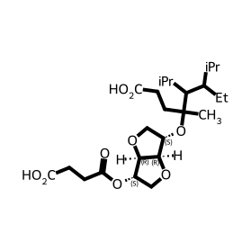 CCC(C(C)C)C(C(C)C)C(C)(CCC(=O)O)O[C@H]1CO[C@H]2[C@@H]1OC[C@@H]2OC(=O)CCC(=O)O